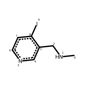 CNCc1cnccc1I